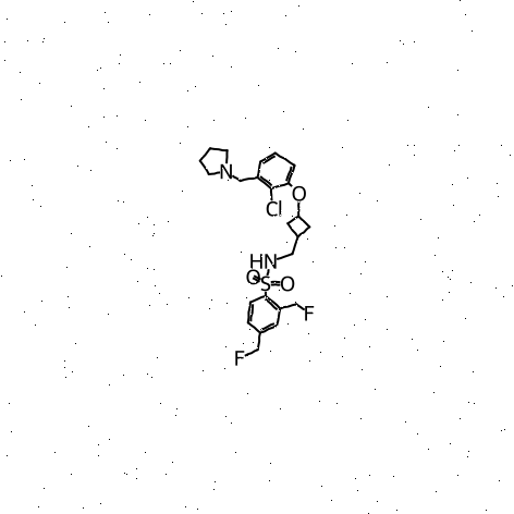 O=S(=O)(NCC1CC(Oc2cccc(CN3CCCC3)c2Cl)C1)c1ccc(CF)cc1CF